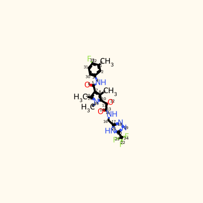 Cc1cc(NC(=O)c2c(C)c(C(=O)C(=O)NCc3nnc(C(F)(F)F)[nH]3)n(C)c2C)ccc1F